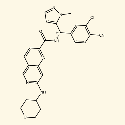 Cn1nccc1[C@@H](NC(=O)c1ccc2cnc(NC3CCOCC3)cc2n1)c1ccc(C#N)c(Cl)c1